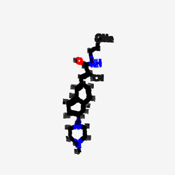 COCCNC(=O)/C(C#N)=C/c1ccc2cc(N3CCN(C)CC3)ccc2c1